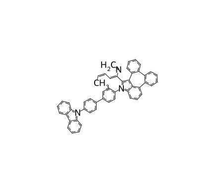 C=N/C(=C\C=C/C)c1c2c3c(cccc3n1-c1ccc(-c3ccc(-n4c5ccccc5c5ccccc54)cc3)cc1)-c1ccccc1-c1ccccc1-2